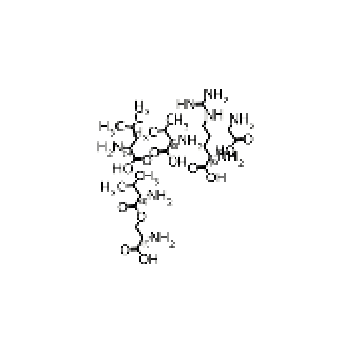 CC(C)C[C@H](N)C(=O)O.CC(C)[C@H](N)C(=O)O.CC(C)[C@H](N)C(=O)OC[C@H](N)C(=O)O.N=C(N)NCCC[C@H](N)C(=O)O.NCC(=O)O